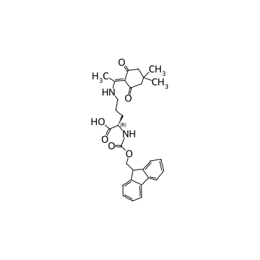 CC(NCCC[C@@H](NC(=O)OCC1c2ccccc2-c2ccccc21)C(=O)O)=C1C(=O)CC(C)(C)CC1=O